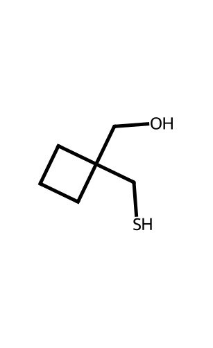 OCC1(CS)CCC1